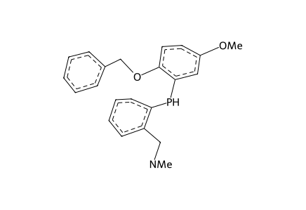 CNCc1ccccc1Pc1cc(OC)ccc1OCc1ccccc1